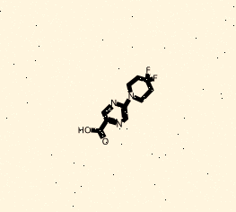 O=C(O)c1cnc(N2CCC(F)(F)CC2)cn1